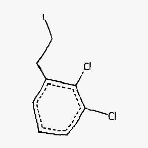 Clc1cccc(CCI)c1Cl